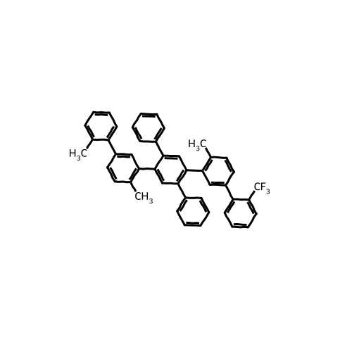 Cc1ccccc1-c1ccc(C)c(-c2cc(-c3ccccc3)c(-c3cc(-c4ccccc4C(F)(F)F)ccc3C)cc2-c2ccccc2)c1